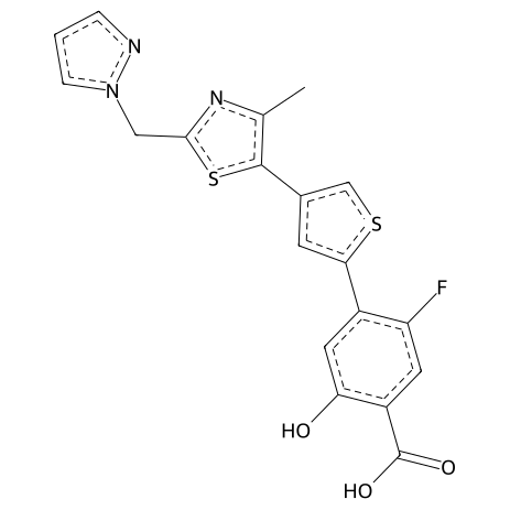 Cc1nc(Cn2cccn2)sc1-c1csc(-c2cc(O)c(C(=O)O)cc2F)c1